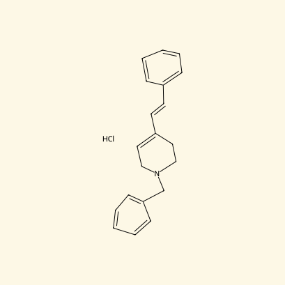 C(=Cc1ccccc1)C1=CCN(Cc2ccccc2)CC1.Cl